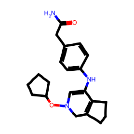 NC(=O)Cc1ccc(NC2=CN(OC3CCCC3)CC3=C2CCC3)cc1